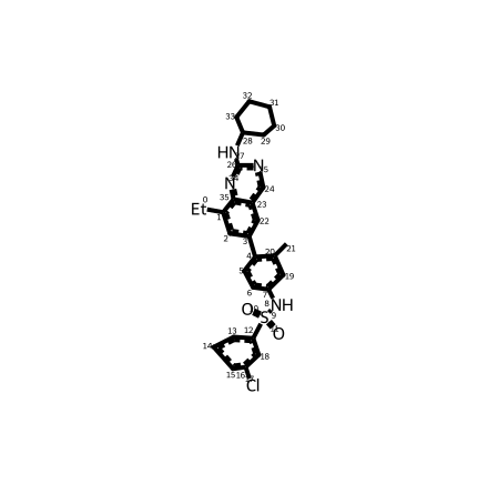 CCc1cc(-c2ccc(NS(=O)(=O)c3cccc(Cl)c3)cc2C)cc2cnc(NC3CCCCC3)nc12